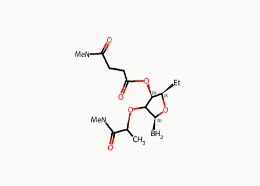 B[C@@H]1O[C@H](CC)[C@H](OC(=O)CCC(=O)NC)C1OC(C)C(=O)NC